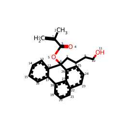 C=C(C)C(=O)OC1(CCCCO)c2ccccc2-c2cccc3cccc1c23